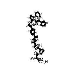 CC(C)[C@H](NC(=O)O)C(=O)N1CCCC1c1ncc(-c2csc3c(-c4ccc(-c5cnc(C6CCCN6C(=O)C(c6ccccc6)N6CCCCC6)[nH]5)cc4)csc23)[nH]1